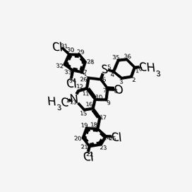 CC1CCC(SC2C(=O)CC3=C(CN(C)CC3=Cc3ccc(Cl)cc3Cl)[C@@H]2c2ccc(Cl)cc2Cl)CC1